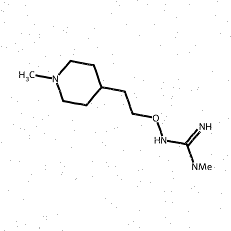 CNC(=N)NOCCC1CCN(C)CC1